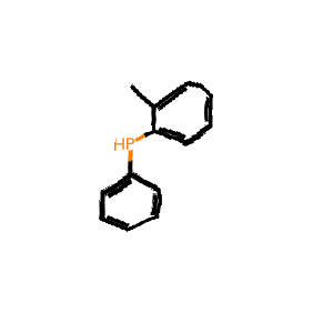 Cc1ccccc1Pc1ccccc1